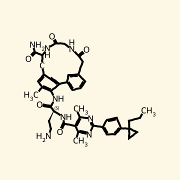 CCCC1(c2ccc(-c3nc(C)c(C(=O)N[C@@H](CCN)C(=O)Nc4c(C)cc5cc4-c4cccc(c4)CC(=O)NCC(=O)NC(C(N)=O)C5)c(C)n3)cc2)CC1